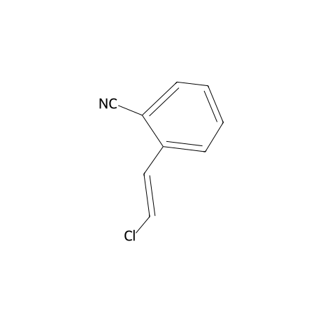 N#Cc1ccccc1/C=C/Cl